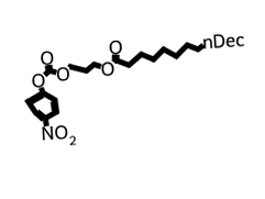 CCCCCCCCCCCCCCCCCC(=O)OCCCOC(=O)Oc1ccc([N+](=O)[O-])cc1